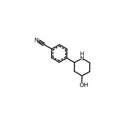 N#Cc1ccc(C2CC(O)CCN2)cc1